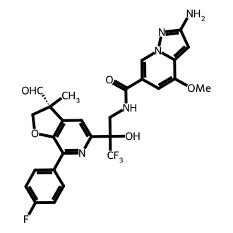 COc1cc(C(=O)NCC(O)(c2cc3c(c(-c4ccc(F)cc4)n2)OC[C@]3(C)C=O)C(F)(F)F)cn2nc(N)cc12